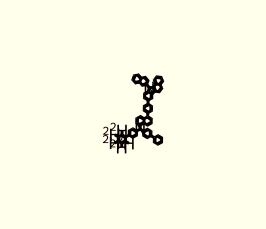 [2H]c1c([2H])c([2H])c(-c2ccc(N(c3ccc(-c4ccccc4)cc3)c3cccc4c(-c5ccc(-c6ccc7c(c6)c6ccc8ccccc8c6n7-c6ccc7ccccc7c6)cc5)cccc34)cc2)c([2H])c1[2H]